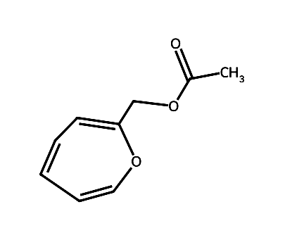 CC(=O)OCC1=CC=CC=CO1